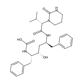 CC(C)[C@@H](C(=O)N[C@@H](Cc1ccccc1)C[C@H](O)[C@H](Cc1ccccc1)NC(=O)O)N1CCCNC1=O